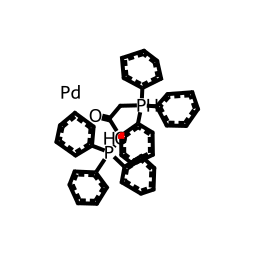 O=C(C[PH](c1ccccc1)(c1ccccc1)c1ccccc1)O[PH](c1ccccc1)(c1ccccc1)c1ccccc1.[Pd]